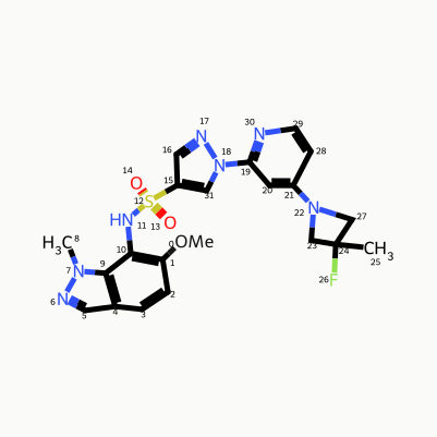 COc1ccc2cnn(C)c2c1NS(=O)(=O)c1cnn(-c2cc(N3CC(C)(F)C3)ccn2)c1